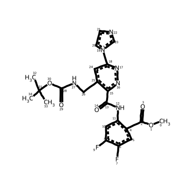 COC(=O)c1cc(F)c(F)cc1NC(=O)c1nnc(-n2ccnc2)cc1CNC(=O)OC(C)(C)C